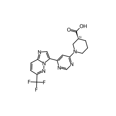 O=C(O)[C@H]1CCCN(c2cc(-c3cnc4ccc(C(F)(F)F)nn34)ncn2)C1